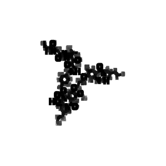 C/C=C/C1=CN2C(=O)c3cc(C)c(OCCCOc4cc5c(cc4OC)C(=O)N4C=C(/C=C/C)C[C@H]4[C@H](O)N5C(=O)OCc4ccc(CNC(C)C(=O)C(=O)[C@@H](NNC(=O)CNC(=O)CI)C(C)C)cc4)cc3N=C[C@@H]2C1